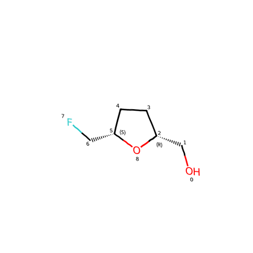 OC[C@H]1CC[C@@H](CF)O1